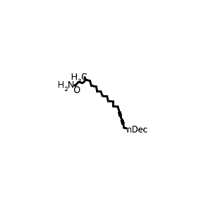 CCCCCCCCCCCC#CC#CCCCCCCCCCCCC(C)CCC(N)=O